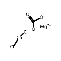 O=C([O-])[O-].[Cl][Ca][Cl].[Mg+2]